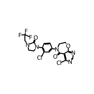 O=C1c2c(Cl)ncnc2OCCN1c1ccc(N2CCN(CC(F)(F)F)C2=O)c(Cl)c1